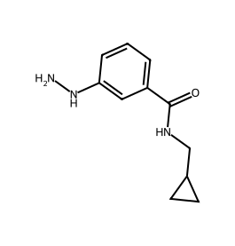 NNc1cccc(C(=O)NCC2CC2)c1